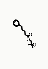 CC1(COC(=O)CCCCc2ccccc2)CO1